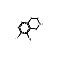 Fc1ccc2c(c1Br)CNCC2